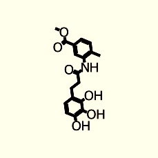 COC(=O)c1ccc(C)c(NC(=O)CCc2ccc(O)c(O)c2O)c1